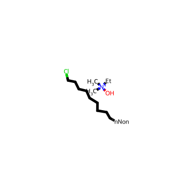 CCCCCCCCCCCCCCCCCCCl.CC[N+](C)(C)O